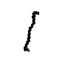 CSCCCCCCCCCCCOCCOCCOCCO